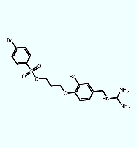 NC(N)NCc1ccc(OCCCOS(=O)(=O)c2ccc(Br)cc2)c(Br)c1